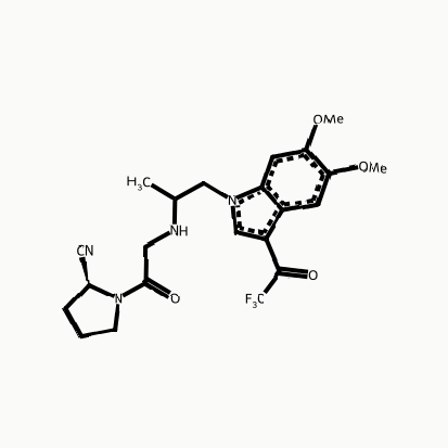 COc1cc2c(C(=O)C(F)(F)F)cn(CC(C)NCC(=O)N3CCC[C@H]3C#N)c2cc1OC